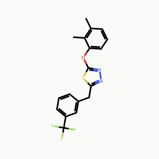 Cc1cccc(Oc2nnc(Cc3cccc(C(F)(F)F)c3)s2)c1C